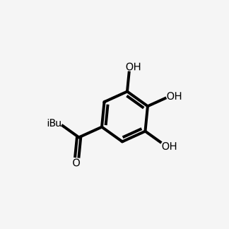 CCC(C)C(=O)c1cc(O)c(O)c(O)c1